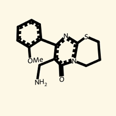 COc1ccccc1-c1nc2n(c(=O)c1CN)CCCS2